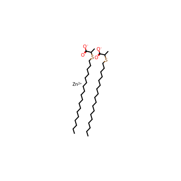 CCCCCCCCCCCCCCCCCCSC(C)C(=O)[O-].CCCCCCCCCCCCCCCCCCSC(C)C(=O)[O-].[Zn+2]